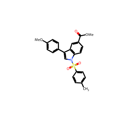 COC(=O)c1ccc2c(c1)c(-c1ccc(OC)cc1)cn2S(=O)(=O)c1ccc(C)cc1